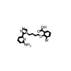 Nc1cccc(-c2nncn2CCCCOc2c(Br)cccc2C(=O)O)n1